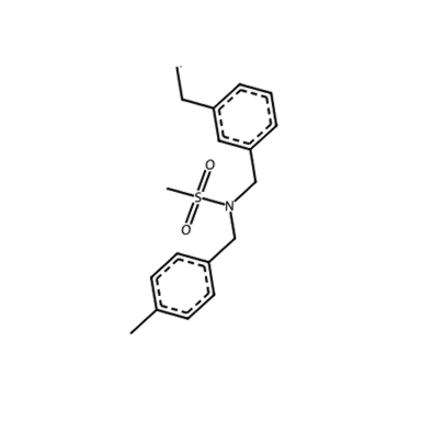 [CH2]Cc1cccc(CN(Cc2ccc(C)cc2)S(C)(=O)=O)c1